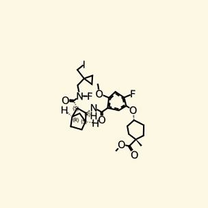 COc1cc(F)c(O[C@H]2CC[C@@](C)(C(=O)OC)CC2)cc1C(=O)N[C@@H]1[C@H]2CC[C@H](C2)[C@@H]1C(=O)N(F)CC1(CI)CC1